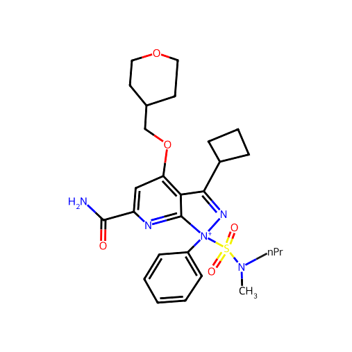 CCCN(C)S(=O)(=O)[N+]1(c2ccccc2)N=C(C2CCC2)c2c(OCC3CCOCC3)cc(C(N)=O)nc21